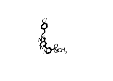 COC(=O)c1ccnc(-c2cc3cn(CCc4ccc(Cl)cc4)nc3cn2)c1